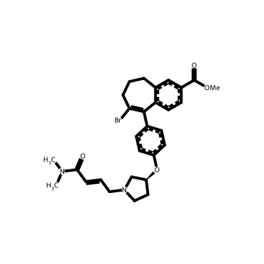 COC(=O)c1ccc2c(c1)CCCC(Br)=C2c1ccc(O[C@H]2CCN(CC=CC(=O)N(C)C)C2)cc1